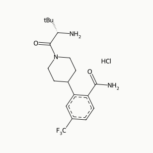 CC(C)(C)[C@H](N)C(=O)N1CCC(c2cc(C(F)(F)F)ccc2C(N)=O)CC1.Cl